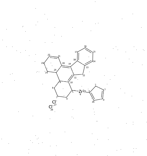 C1=CC[C]([Zr+2][CH]2CCCC3C2=C2Cc4ccccc4C2=C2C=CCCC23)=C1.[Cl-].[Cl-]